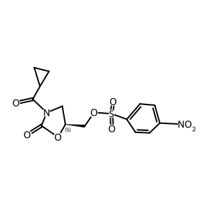 O=C1O[C@H](COS(=O)(=O)c2ccc([N+](=O)[O-])cc2)CN1C(=O)C1CC1